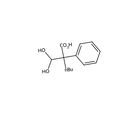 CCCCC(C(=O)O)(c1ccccc1)C(O)O